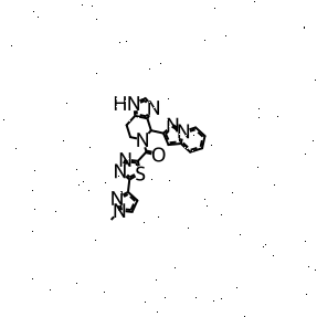 Cn1ccc(-c2nnc(C(=O)N3CCc4[nH]cnc4C3c3cc4ccccn4n3)s2)n1